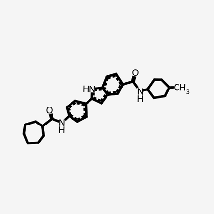 CC1CCC(NC(=O)c2ccc3[nH]c(-c4ccc(NC(=O)C5CCCCCC5)cc4)cc3c2)CC1